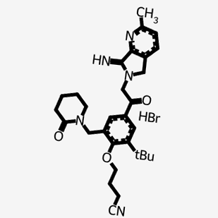 Br.Cc1ccc2c(n1)C(=N)N(CC(=O)c1cc(CN3CCCCC3=O)c(OCCCC#N)c(C(C)(C)C)c1)C2